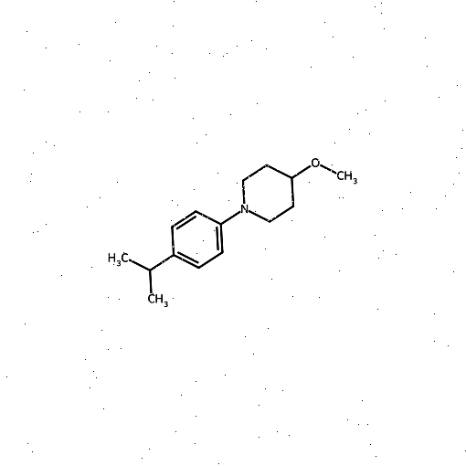 COC1CCN(c2ccc(C(C)C)cc2)CC1